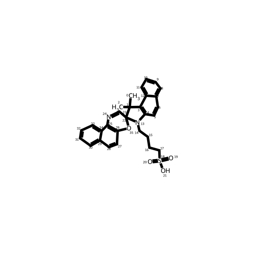 CC1(C)c2c(ccc3ccccc23)N(CCCCS(=O)(=O)O)C12C=Nc1c(ccc3ccccc13)O2